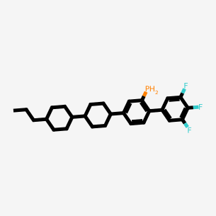 CCCC1CCC(C2CCC(c3ccc(-c4cc(F)c(F)c(F)c4)c(P)c3)CC2)CC1